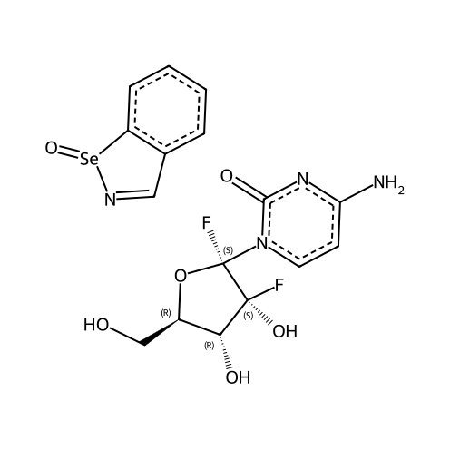 Nc1ccn([C@]2(F)O[C@H](CO)[C@@H](O)[C@]2(O)F)c(=O)n1.O=[Se]1N=Cc2ccccc21